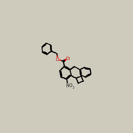 O=C(OCc1ccccc1)c1ccc([N+](=O)[O-])c(C2CCC2)c1Cc1ccccc1